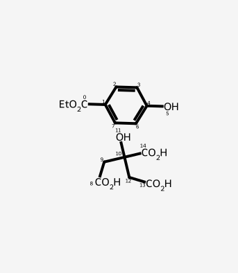 CCOC(=O)c1ccc(O)cc1.O=C(O)CC(O)(CC(=O)O)C(=O)O